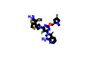 C[C@H](c1cccnc1N)N(C)c1nc(OC[C@@H]2C[C@@H](F)CN2C)nc(N2CC3(C2)SCc2sc(N)c(C#N)c23)c1F